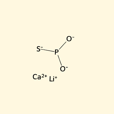 [Ca+2].[Li+].[O-]P([O-])[S-]